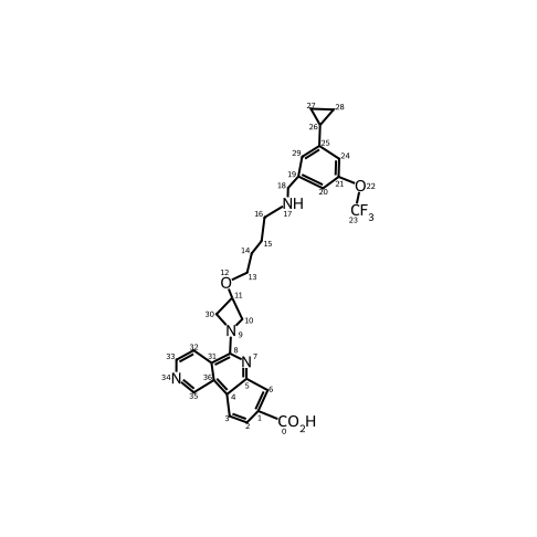 O=C(O)c1ccc2c(c1)nc(N1CC(OCCCCNCc3cc(OC(F)(F)F)cc(C4CC4)c3)C1)c1ccncc12